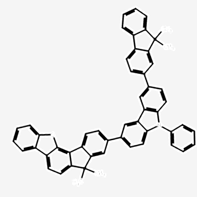 CC1(C)c2ccccc2-c2ccc(-c3ccc4c(c3)c3cc(-c5ccc6c(c5)C(C)(C)c5ccc7c(sc8ccccc87)c5-6)ccc3n4-c3ccccc3)cc21